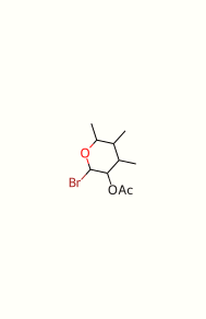 CC(=O)OC1C(Br)OC(C)C(C)C1C